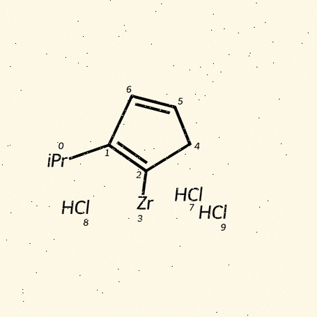 CC(C)C1=[C]([Zr])CC=C1.Cl.Cl.Cl